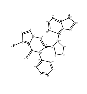 O=c1c2c(F)ccn2nc([C@@H]2CCCN2c2ncnc3[nH]cnc23)n1-c1ccccn1